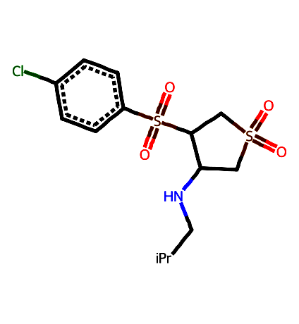 CC(C)CNC1CS(=O)(=O)CC1S(=O)(=O)c1ccc(Cl)cc1